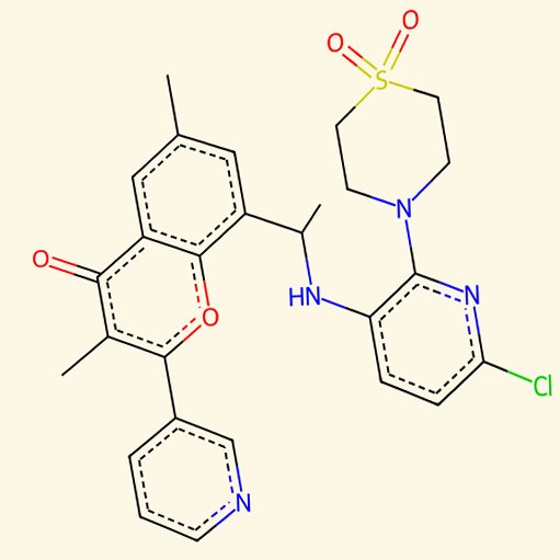 Cc1cc(C(C)Nc2ccc(Cl)nc2N2CCS(=O)(=O)CC2)c2oc(-c3cccnc3)c(C)c(=O)c2c1